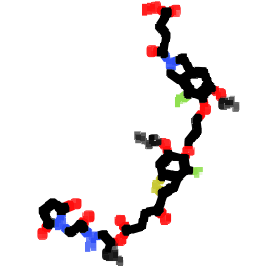 COc1cc2c(c(F)c1OCCCOc1c(OC)cc3sc(C(=O)CCC(=O)O[C@@H](C)CNC(=O)CN4C(=O)C=CC4=O)cc3c1F)CN(C(=O)CCC(=O)O)C2